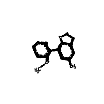 COc1ccccc1-c1cc(C)cc2c1O[CH]C2